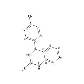 N#Cc1ccc(C2NC(=S)Nc3ccccc32)cc1